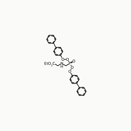 CCOC(=O)CNCP(=O)(OOc1ccc(-c2ccccc2)cc1)OOc1ccc(-c2ccccc2)cc1